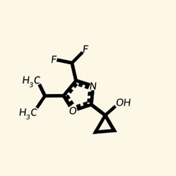 CC(C)c1oc(C2(O)CC2)nc1C(F)F